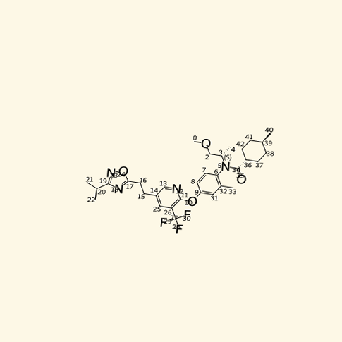 COC[C@H](C)N(c1ccc(Oc2ncc(CCc3nc(C(C)C)no3)cc2C(F)(F)F)cc1C)C(=O)[C@H]1CC[C@H](C)CC1